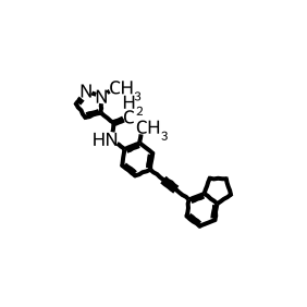 C=C(Nc1ccc(C#Cc2cccc3c2CCC3)cc1C)c1ccnn1C